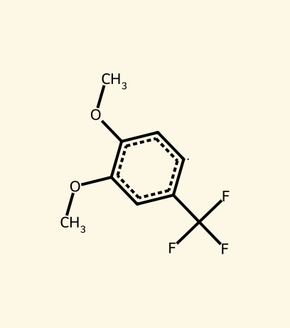 COc1c[c]c(C(F)(F)F)cc1OC